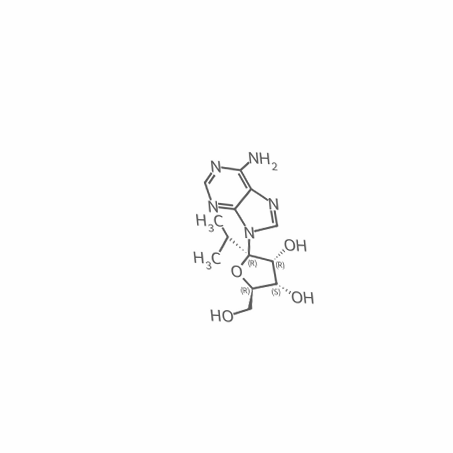 CC(C)[C@@]1(n2cnc3c(N)ncnc32)O[C@H](CO)[C@@H](O)[C@H]1O